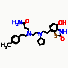 Cc1ccc(CCN(CCC(N)=O)CCN(CCc2ccc(O)c3[nH]c(=O)sc23)C2CCCC2)cc1